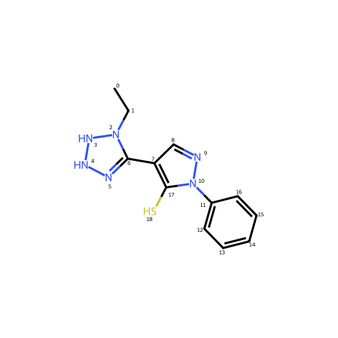 CCN1NNN=C1c1cnn(-c2ccccc2)c1S